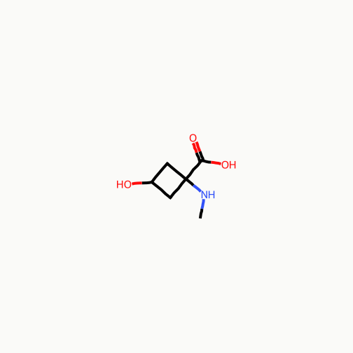 CNC1(C(=O)O)CC(O)C1